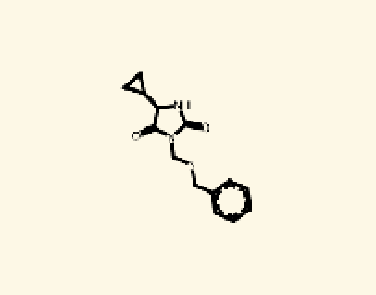 O=C1NC(C2CC2)C(=O)N1CSCc1ccccc1